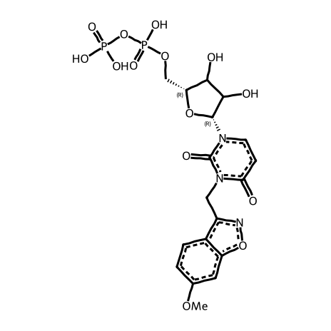 COc1ccc2c(Cn3c(=O)ccn([C@@H]4O[C@H](COP(=O)(O)OP(=O)(O)O)C(O)C4O)c3=O)noc2c1